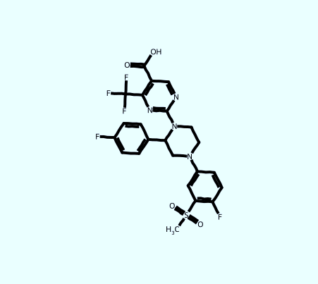 CS(=O)(=O)c1cc(N2CCN(c3ncc(C(=O)O)c(C(F)(F)F)n3)C(c3ccc(F)cc3)C2)ccc1F